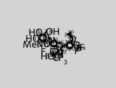 CN[C@@H]1C(O)[C@H](O)C(CO)O[C@H]1Oc1ccc(C[C@@H](c2ccc(OC(F)F)c(OC3CC3)c2)c2cnc(C(O)(C(F)(F)F)C(F)(F)F)s2)cn1